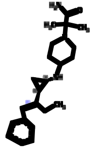 CC/C(=C\c1ccccc1)[C@H]1C[C@@H]1NC1CCN(C(C)(C)C(N)=O)CC1